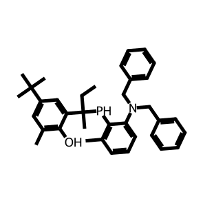 CCC(C)(Pc1c(C)cccc1N(Cc1ccccc1)Cc1ccccc1)c1cc(C(C)(C)C)cc(C)c1O